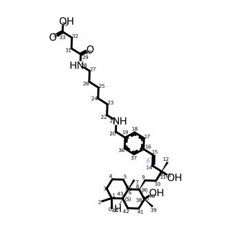 CC1(C)CCC[C@]2(C)[C@@H](CC[C@@](C)(O)/C=C/c3ccc(CNCCCCCCNC(=O)CCC(=O)O)cc3)[C@](C)(O)CC[C@@H]12